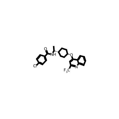 CC(NC(=O)c1ccc(Cl)cc1)[C@H]1CC[C@@H](Oc2cc(C(F)(F)F)nc3ccccc23)CC1